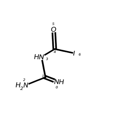 N=C(N)NC(=O)I